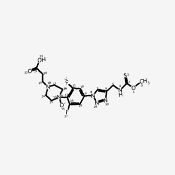 COC(=S)NCc1cn(-c2cc(F)c([N+]3([O-])CCN(CCC(=O)O)CC3)c(F)c2)nn1